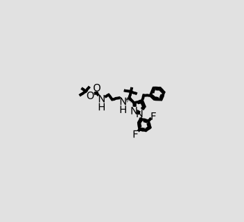 CC(C)(C)OC(=O)NCCCN[C@@H](c1nn(-c2cc(F)ccc2F)cc1Cc1ccccc1)C(C)(C)C